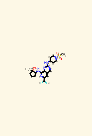 CC1(O)CCCC1Nc1nc(C(F)F)cc2cnc(NC3CCN(S(C)(=O)=O)CC3)nc12